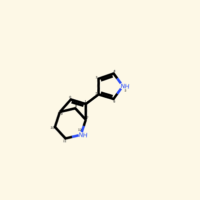 C1=C(c2cc[nH]c2)C2CC1CCN2